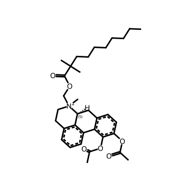 CCCCCCCCC(C)(C)C(=O)OC[N+]1(C)CCc2cccc3c2[C@@H]1Cc1ccc(OC(C)=O)c(OC(C)=O)c1-3